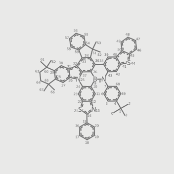 CC(C)(C)c1ccc(N2B3c4cc5nc(-c6ccccc6)sc5cc4-n4c5cc6c(cc5c5c7c(c(c3c54)-c3cc4c(cc32)sc2ccccc24)C(C)(C)c2ccccc2-7)C(C)(C)CCC6(C)C)cc1